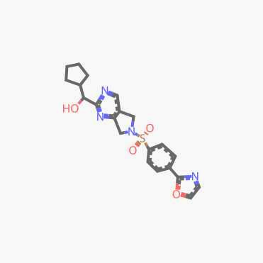 O=S(=O)(c1ccc(-c2ncco2)cc1)N1Cc2cnc(C(O)C3CCCC3)nc2C1